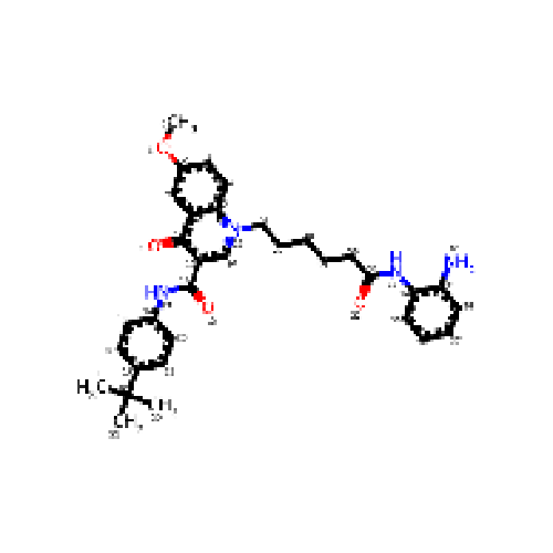 COc1ccc2c(c1)c(=O)c(C(=O)Nc1ccc(C(C)(C)C)cc1)cn2CCCCCC(=O)Nc1ccccc1N